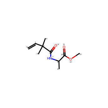 C=CC(C)(C)C(=O)NC(C)C(=O)OC